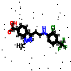 Cn1nc(CCNc2ccc(C(F)(F)F)cc2Cl)c2ccc(C(=O)O)cc21